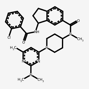 Cc1cc(N2CCC(N(C)C(=O)c3ccc4c(c3)C(NC(=O)c3ccccc3Cl)CC4)CC2)nc(N(C)C)n1